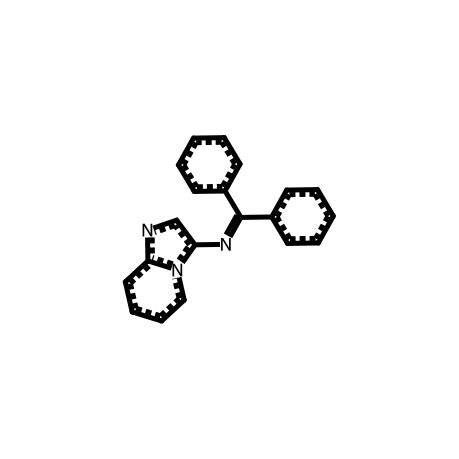 c1ccc(C(=Nc2cnc3ccccn23)c2ccccc2)cc1